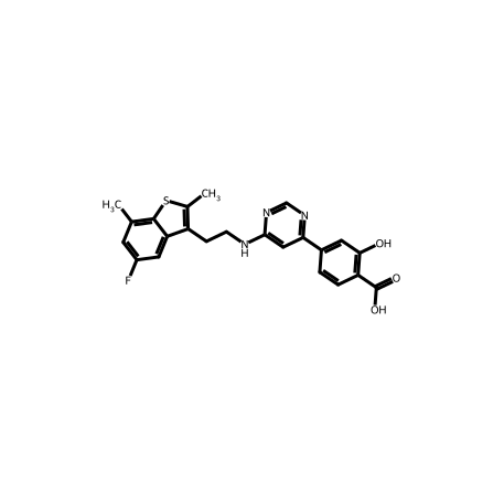 Cc1sc2c(C)cc(F)cc2c1CCNc1cc(-c2ccc(C(=O)O)c(O)c2)ncn1